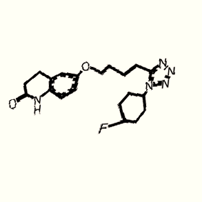 O=C1CCc2cc(OCCCCc3nnnn3C3CCC(F)CC3)ccc2N1